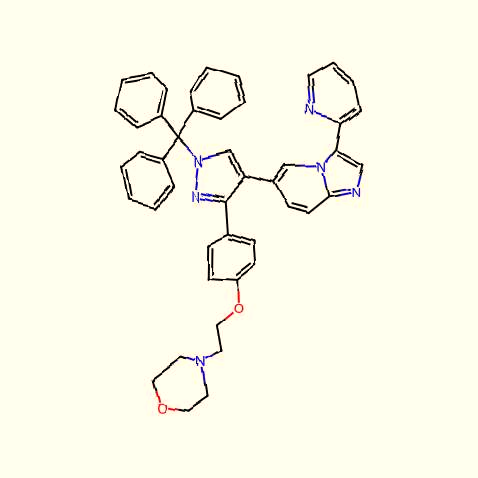 c1ccc(C(c2ccccc2)(c2ccccc2)n2cc(-c3ccc4ncc(-c5ccccn5)n4c3)c(-c3ccc(OCCN4CCOCC4)cc3)n2)cc1